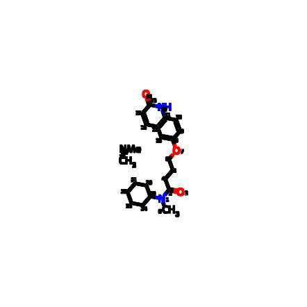 CN(C(=O)CCCOc1ccc2[nH]c(=O)ccc2c1)C1CCCCC1.CNC